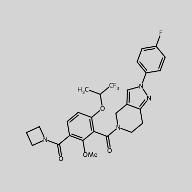 COc1c(C(=O)N2CCC2)ccc(OC(C)C(F)(F)F)c1C(=O)N1CCc2nn(-c3ccc(F)cc3)cc2C1